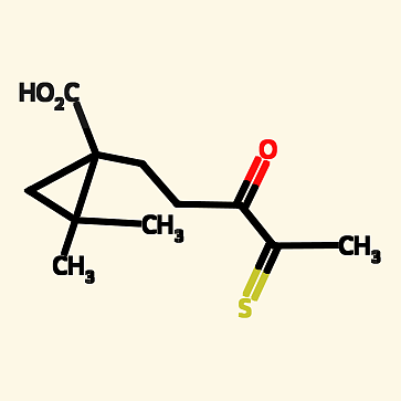 CC(=S)C(=O)CCC1(C(=O)O)CC1(C)C